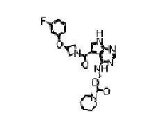 O=C(OCNc1ncnc2[nH]cc(C(=O)N3CC(Oc4cccc(F)c4)C3)c12)N1CCCCC1